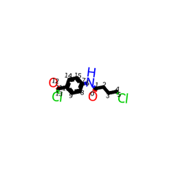 O=C(CCCCl)Nc1ccc(C(=O)Cl)cc1